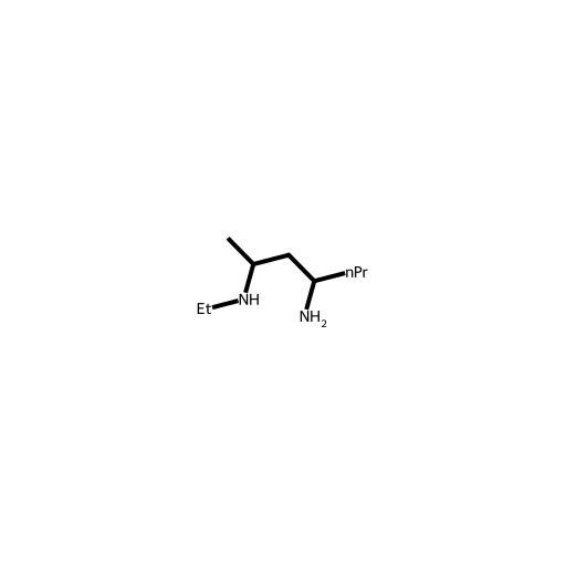 CCCC(N)CC(C)NCC